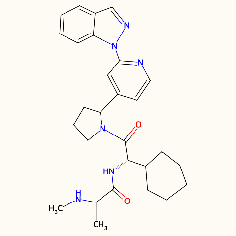 CNC(C)C(=O)N[C@H](C(=O)N1CCCC1c1ccnc(-n2ncc3ccccc32)c1)C1CCCCC1